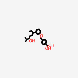 CCC(=CCC(O)C(C)C)c1cccc(OCc2ccc(C(O)O)cc2)c1